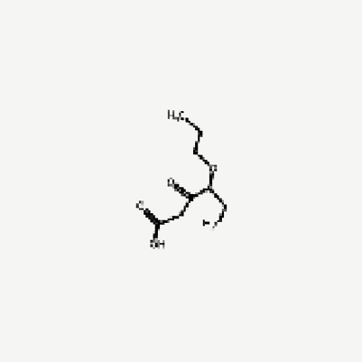 CCCOC(CC)C(=O)CC(=O)O